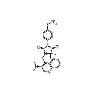 CN(C)c1cnc2ccccc2c1CN1C(=O)N(c2ccc(SC(F)(F)F)cc2)C(=O)C1(C)C